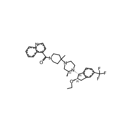 CCO[C@@H]1Cc2cc(C(F)(F)F)ccc2[C@H]1N1CCN(C2(C)CCN(C(=O)c3ccnc4ccccc34)CC2)C[C@@H]1C